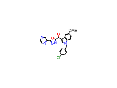 COc1ccc2c(c1)c(C(=O)c1nnc(-c3cnccn3)o1)cn2Cc1ccc(Cl)cc1